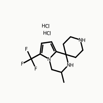 CC1Cn2c(C(F)(F)F)ccc2C2(CCNCC2)N1.Cl.Cl